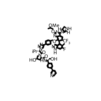 CO[C@@H](C)COc1nc(N2C[C@@H]3C[C@H]2CN3)c2cc(C(F)(F)F)c(-c3c(C)c(F)cc4[nH]ncc34)c(OCc3ccc(-c4cn([C@H](C(=O)N5C[C@H](O)C[C@H]5C(=O)N[C@@H](CO)c5ccc(-c6cccnc6)cc5)C(C)C)nn4)cc3)c2n1